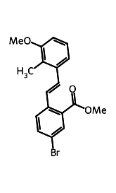 COC(=O)c1cc(Br)ccc1/C=C/c1cccc(OC)c1C